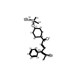 C/C(Br)=C(/C=C/C(=O)C1CCC(O[Si](C)(C)C(C)(C)C)CC1)c1ccccc1